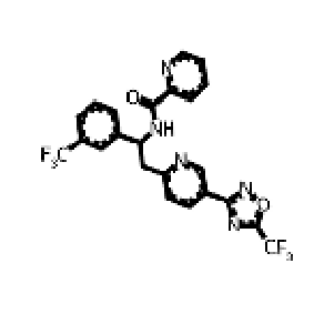 O=C(NC(Cc1ccc(-c2noc(C(F)(F)F)n2)cn1)c1cccc(C(F)(F)F)c1)c1ccccn1